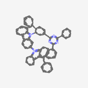 c1ccc(-c2nc(-c3ccccc3)nc(-c3ccc(-c4ccccc4)c(-n4c5ccccc5c5ccc(-n6c7ccccc7c7c(-c8ccccc8)cccc76)cc54)c3)n2)cc1